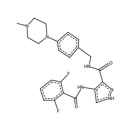 CN1CCN(c2ccc(CNC(=O)c3n[nH]cc3NC(=O)c3c(F)cccc3F)cc2)CC1